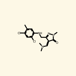 Cc1cc(NCC2=NN(C)C(=O)C2=CN(C)C)c(Cl)cc1Cl